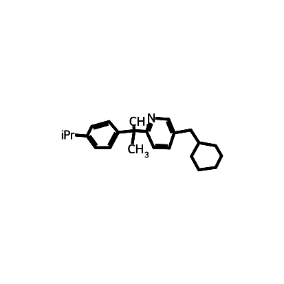 CC(C)c1ccc(C(C)(C)c2ccc(CC3CCCCC3)cn2)cc1